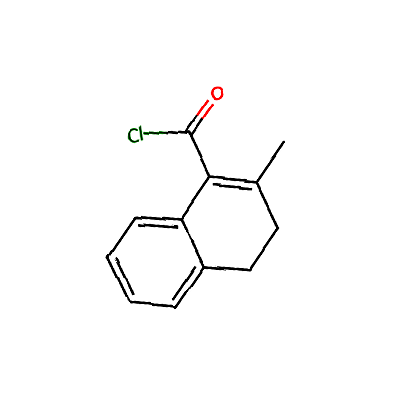 CC1=C(C(=O)Cl)c2ccccc2CC1